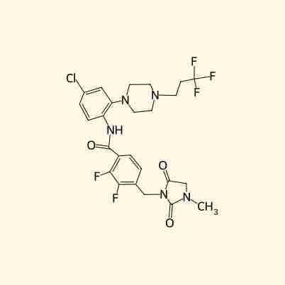 CN1CC(=O)N(Cc2ccc(C(=O)Nc3ccc(Cl)cc3N3CCN(CCC(F)(F)F)CC3)c(F)c2F)C1=O